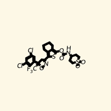 O=C(NC1CCS(=O)(=O)CC1)Oc1sc(C2=NOC(c3cc(Cl)cc(Cl)c3)(C(F)(F)F)C2)c2c1CCCC2